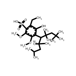 CCc1c(O)c(C(C(C)(C)CC(C)C)C(C)(C)CC(C)(C)C)c(OC)c(OC)c1S(=O)(=O)O